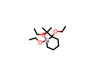 CCOC1(C(C)(C)C)CCCC[Si]1(OCC)OCC